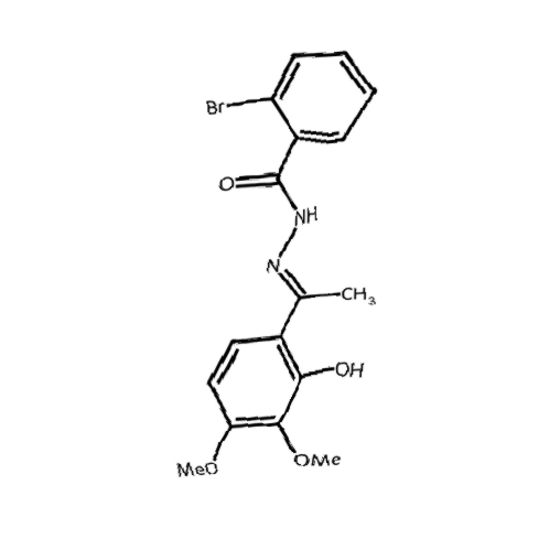 COc1ccc(/C(C)=N/NC(=O)c2ccccc2Br)c(O)c1OC